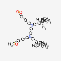 C=S1Cc2ccc(-c3ccc(-c4ccc(N(c5ccc(-c6ccc(N(c7ccc(-c8ccc(-c9ccc%10c(c9)COS(=O)C%10)cc8)cc7)c7ccc(-c8ccc(C(C)(C)CC(C)(C)C)cc8)cc7)cc6)cc5)c5ccc(-c6ccc(C(C)(C)CC(C)(C)C)cc6)cc5)cc4)cc3)cc2CO1